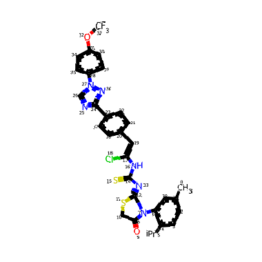 Cc1ccc(C(C)C)c(N2C(=O)CS/C2=N\C(=S)N/C(Cl)=C/c2ccc(-c3ncn(-c4ccc(OC(F)(F)F)cc4)n3)cc2)c1